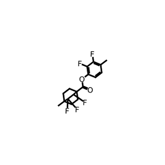 Cc1ccc(OC(=O)C23CCC(C)(CC2)C(F)(F)C3F)c(F)c1F